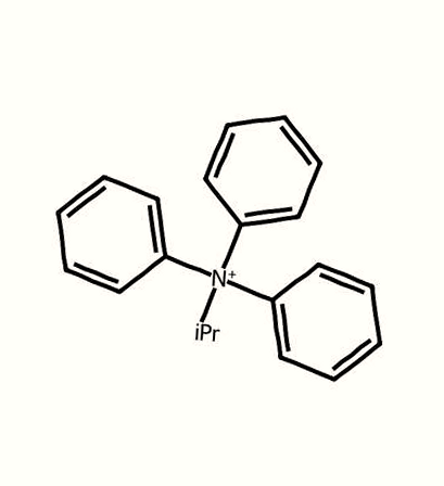 CC(C)[N+](c1ccccc1)(c1ccccc1)c1ccccc1